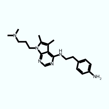 Cc1c(C)n(CCCN(C)C)c2ncnc(NCCc3ccc(N)cc3)c12